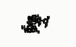 C[S+]([O-])NC1C(Cc2cccc(-c3cc(F)cc(F)c3)c2F)N(C(=O)C(C)(C)O)C2CC1(F)C2